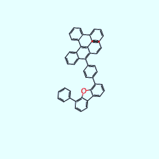 c1ccc(-c2ccccc2-c2c3ccccc3c(-c3ccc(-c4cccc5c4oc4c(-c6ccccc6)cccc45)cc3)c3ccccc23)cc1